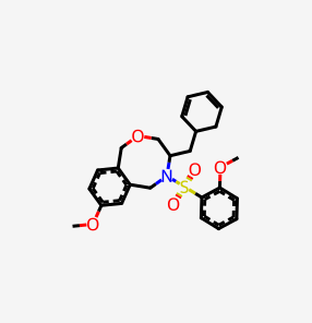 COc1ccc2c(c1)CN(S(=O)(=O)c1ccccc1OC)C(CC1C=CC=CC1)COC2